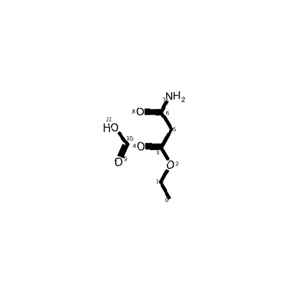 CCOC(=O)CC(N)=O.O=CO